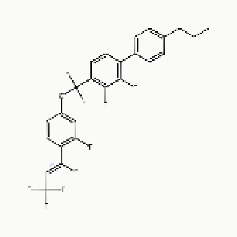 CCCc1ccc(-c2ccc(C(F)(F)Oc3ccc(/C(F)=C/C(F)(F)F)c(F)c3)c(F)c2F)cc1